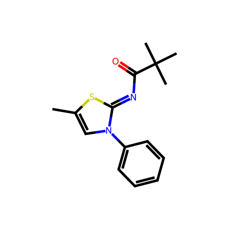 Cc1cn(-c2ccccc2)c(=NC(=O)C(C)(C)C)s1